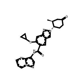 C[C@H]1CC(=O)CC[C@@H]1n1cc2cc(C(=O)Nc3cnn4cccnc34)c(OC3CC3)cc2n1